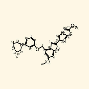 COc1cc(COc2cccc(N3CCO[C@@H](C)C3)c2)c2cc(-c3cn4nc(OC)sc4n3)oc2c1